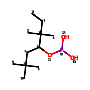 CCC(C)(C)C(CC(C)(C)C)OP(O)O